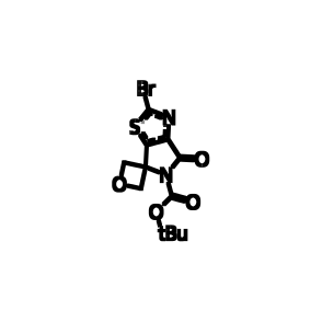 CC(C)(C)OC(=O)N1C(=O)c2nc(Br)sc2C12COC2